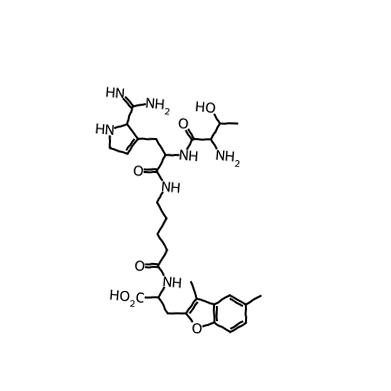 Cc1ccc2oc(CC(NC(=O)CCCCNC(=O)C(CC3=CCNC3C(=N)N)NC(=O)C(N)C(C)O)C(=O)O)c(C)c2c1